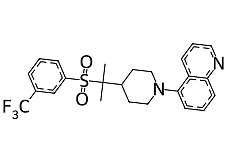 CC(C)(C1CCN(c2cccc3ncccc23)CC1)S(=O)(=O)c1cccc(C(F)(F)F)c1